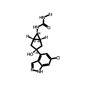 CCNC(=O)N[C@H]1[C@@H]2C[C@](O)(c3cc(Cl)cc4[nH]ncc34)C[C@@H]21